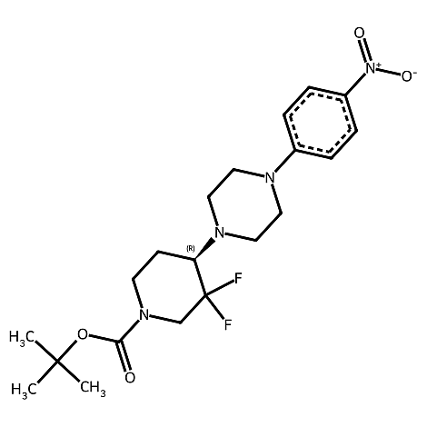 CC(C)(C)OC(=O)N1CC[C@@H](N2CCN(c3ccc([N+](=O)[O-])cc3)CC2)C(F)(F)C1